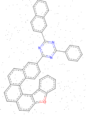 c1ccc(-c2nc(-c3ccc4ccccc4c3)nc(-c3ccc4c(ccc5ccc6ccc7oc8ccccc8c7c6c54)c3)n2)cc1